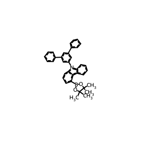 CC1(C)OB(c2cccc3c2c2ccccc2n3-c2cc(-c3ccccc3)cc(-c3ccccc3)c2)OC1(C)C